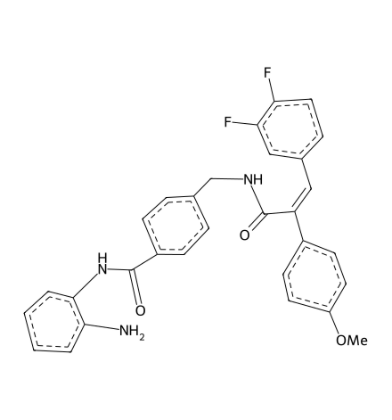 COc1ccc(C(=Cc2ccc(F)c(F)c2)C(=O)NCc2ccc(C(=O)Nc3ccccc3N)cc2)cc1